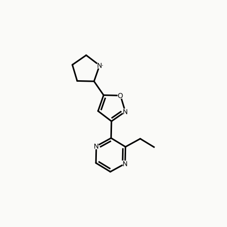 CCc1nccnc1-c1cc(C2CCC[N]2)on1